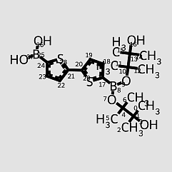 CC(C)(O)C(C)(C)OB(OC(C)(C)C(C)(C)O)c1ccc(-c2ccc(B(O)O)s2)s1